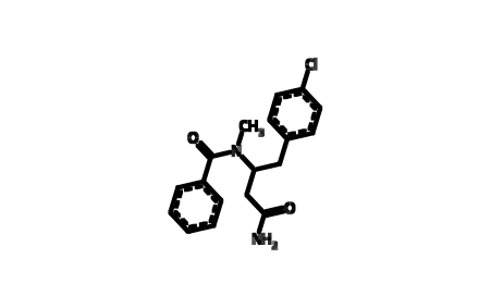 CN(C(=O)c1ccccc1)C(CC(N)=O)Cc1ccc(Cl)cc1